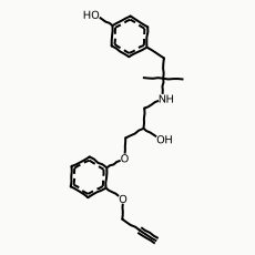 C#CCOc1ccccc1OCC(O)CNC(C)(C)Cc1ccc(O)cc1